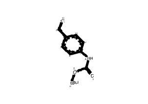 CC(C)(C)OC(=O)Nc1ccc(CCl)cc1